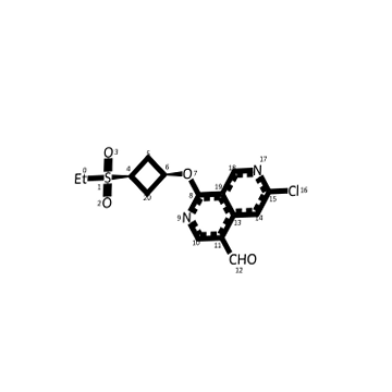 CCS(=O)(=O)[C@H]1C[C@@H](Oc2ncc(C=O)c3cc(Cl)ncc23)C1